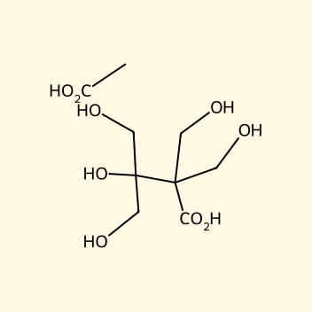 CC(=O)O.O=C(O)C(CO)(CO)C(O)(CO)CO